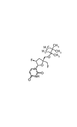 CC(C)(C)[Si](C)(C)OC[C@]1(CF)C[C@H](F)[C@H](n2ccc(=O)[nH]c2=O)O1